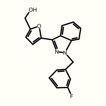 OCc1ccc(-c2nn(Cc3cccc(F)c3)c3ccccc23)o1